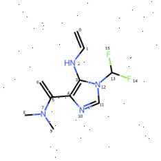 C=CNc1c(C(=C)N(C)C)ncn1C(F)F